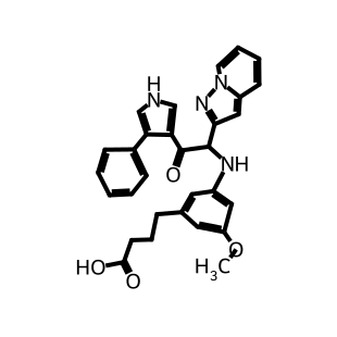 COc1cc(CCCC(=O)O)cc(NC(C(=O)c2c[nH]cc2-c2ccccc2)c2cc3ccccn3n2)c1